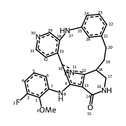 COc1c(F)cccc1Nc1c2[nH]c3c1C(=O)NCC3CCc1cccc(c1)Nc1cnccc1-2